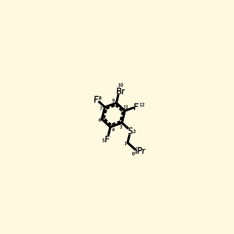 CC(C)CSc1c(F)cc(F)c(Br)c1F